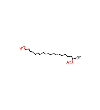 CCCCC(O)CCCCCCCCCCCCCCCCCCO